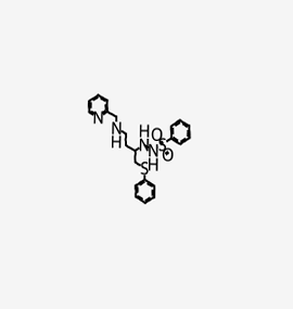 O=S(=O)(NNC(CCNCc1ccccn1)CSc1ccccc1)c1ccccc1